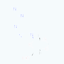 C=CC1(C)O[C@@H]2[C@H](O1)[C@@H](CO)O[C@H]2n1ccc2c(/N=C/N(C)C)ncnc21